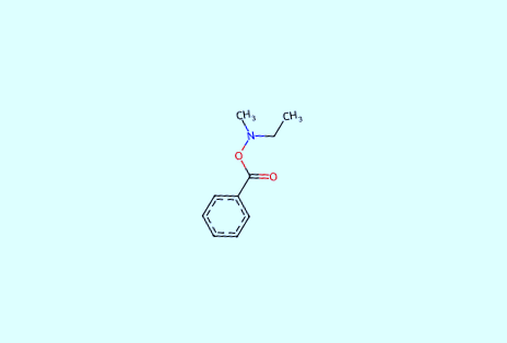 CCN(C)OC(=O)c1ccccc1